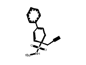 C#CCC1(S(=O)(=O)NC(C)(C)C)C=CC(c2ccccc2)=CC1